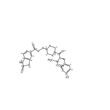 CN(C(=O)O)[C@H](Cc1ccc(Cl)cc1)C(=O)N1CCN(CCC(=O)c2ccc3[nH]c(=O)oc3c2)CC1